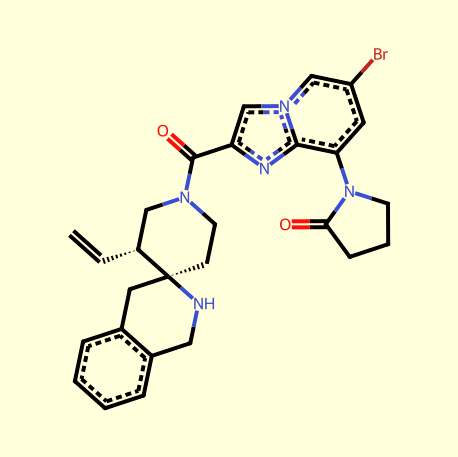 C=C[C@@H]1CN(C(=O)c2cn3cc(Br)cc(N4CCCC4=O)c3n2)CC[C@]12Cc1ccccc1CN2